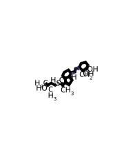 C=C1/C(=C\C=C2/CCC[C@]3(C)C(C(C)SCCC(C)(C)O)=CC[C@@H]23)CCCC1(O)O